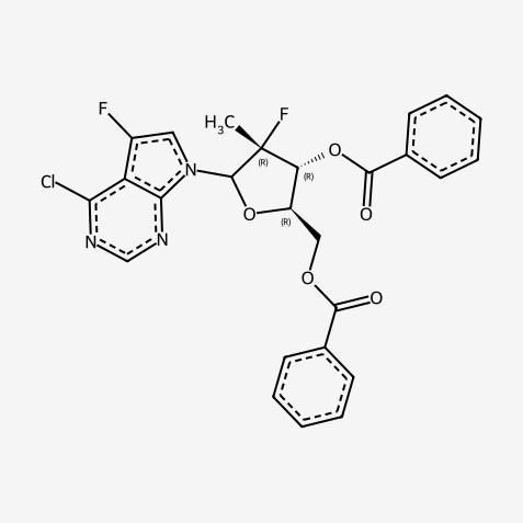 C[C@]1(F)C(n2cc(F)c3c(Cl)ncnc32)O[C@H](COC(=O)c2ccccc2)[C@H]1OC(=O)c1ccccc1